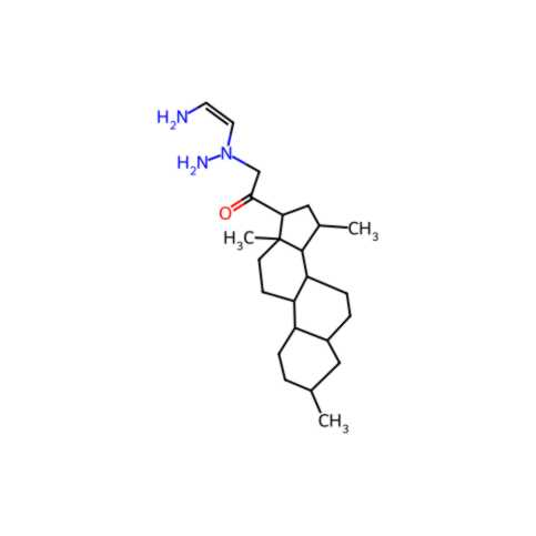 CC1CCC2C(CCC3C2CCC2(C)C(C(=O)CN(N)/C=C\N)CC(C)C32)C1